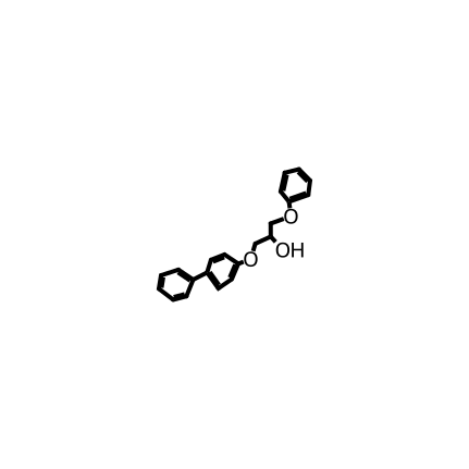 OC(COc1ccccc1)COc1ccc(-c2ccccc2)cc1